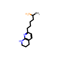 BC(P)CCCCc1ccc2c(n1)NCCC2